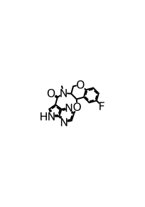 CN1C(=O)c2c[nH]c3ncc(nc23)OC2c3cc(F)ccc3OCC21